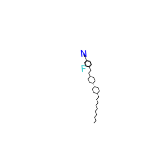 CCCCCCCCCC[C@H]1CC[C@H](C2CCC(CCc3ccc(C#N)cc3F)CC2)CC1